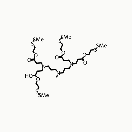 CSSCCOC(=O)CCN(CCCN(C)CCCN(CCC(=O)OCCSSC)CCC(O)OCCSSC)CCC(=O)OCCSSC